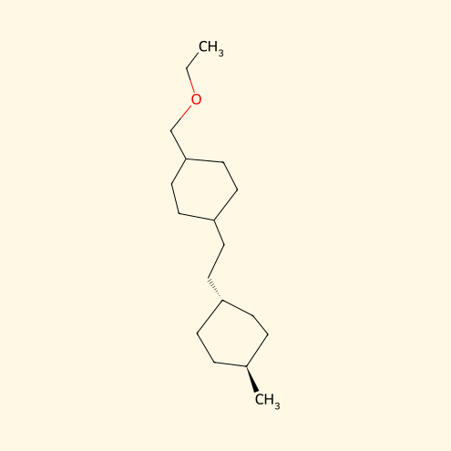 CCOCC1CCC(CC[C@H]2CC[C@H](C)CC2)CC1